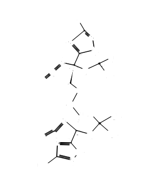 Cc1noc([C@@](CSSC[C@](N=C=O)(OC(C)(C)C)c2nc(C)no2)(N=C=O)OC(C)(C)C)n1